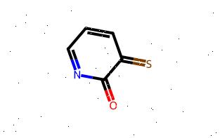 O=C1N=CC=CC1=S